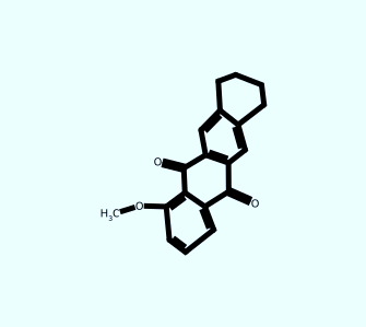 COc1cccc2c1C(=O)c1cc3c(cc1C2=O)CCCC3